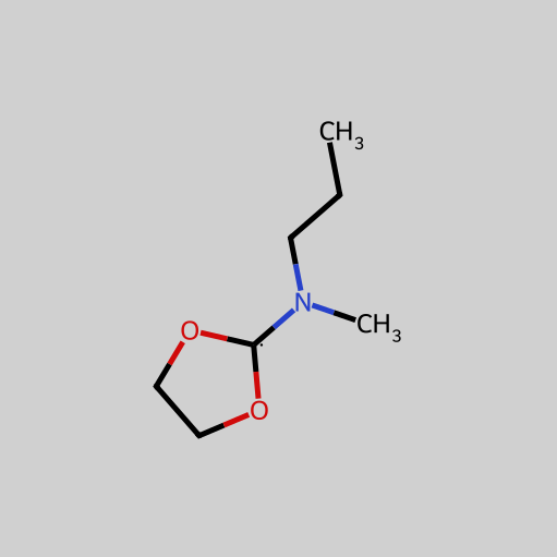 CCCN(C)[C]1OCCO1